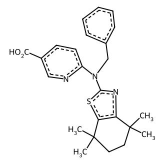 CC1(C)CCC(C)(C)c2sc(N(Cc3ccccc3)c3ccc(C(=O)O)cn3)nc21